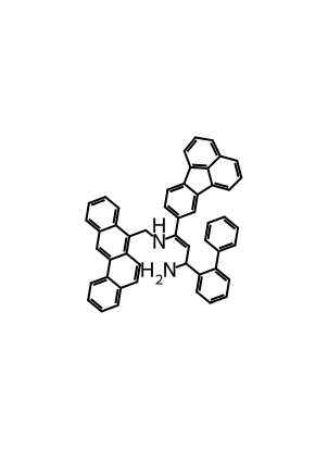 NC(/C=C(\NCc1c2ccccc2cc2c1ccc1ccccc12)c1ccc2c(c1)-c1cccc3cccc-2c13)c1ccccc1-c1ccccc1